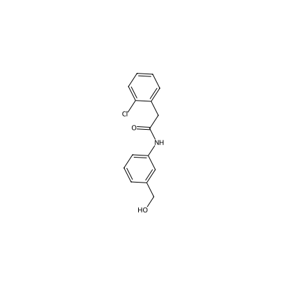 O=C(Cc1ccccc1Cl)Nc1cccc(CO)c1